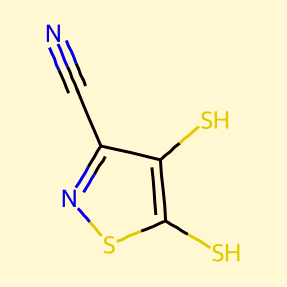 N#Cc1nsc(S)c1S